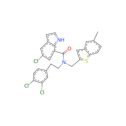 Cc1ccc2sc(CN(CCc3ccc(Cl)c(Cl)c3)C(=O)c3cc(Cl)cc4cc[nH]c34)cc2c1